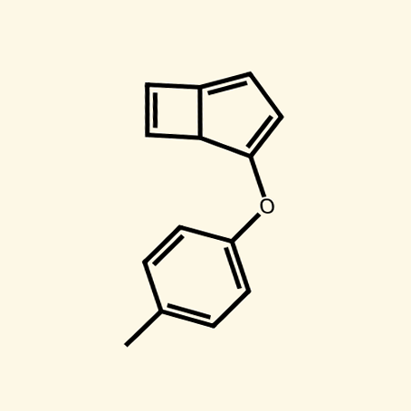 Cc1ccc(OC2=CC=C3C=CC32)cc1